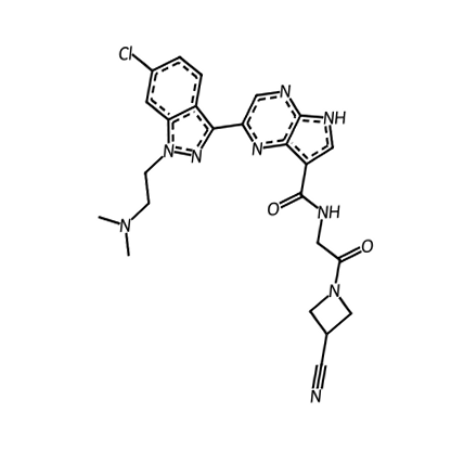 CN(C)CCn1nc(-c2cnc3[nH]cc(C(=O)NCC(=O)N4CC(C#N)C4)c3n2)c2ccc(Cl)cc21